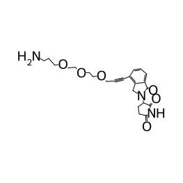 NCCCOCCOCCOCC#Cc1cccc2c1CN(C1CCC(=O)NC1=O)C2=O